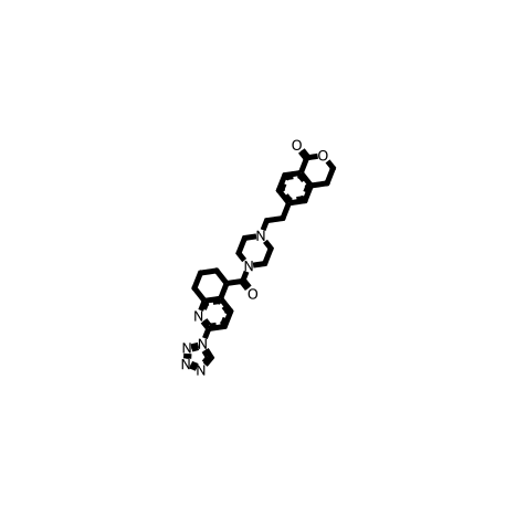 O=C1OCCc2cc(CCN3CCN(C(=O)C4CCCc5nc(-n6cnnn6)ccc54)CC3)ccc21